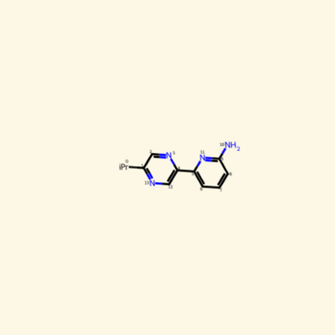 CC(C)c1cnc(-c2cccc(N)n2)cn1